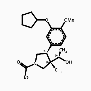 C[CH]C(=O)N1C[C@@H](c2ccc(OC)c(OC3CCCC3)c2)[C@](C)([C@@H](C)O)C1